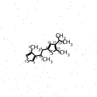 Cc1cscc1C(C)Cc1cc(C(C)C)c(C)s1